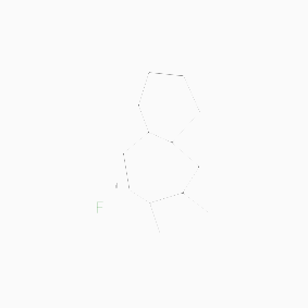 CC1CC2CCCCC2C[C@@H](F)C1C